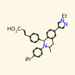 CCn1cc(-c2ccc3c(c2)CC(C)N(c2ccc(C(C)C)cc2)[C@H]3c2ccc(/C=C/C(=O)O)cc2)cn1